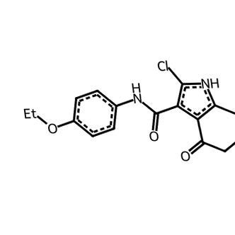 CCOc1ccc(NC(=O)c2c(Cl)[nH]c3c2C(=O)CCC3)cc1